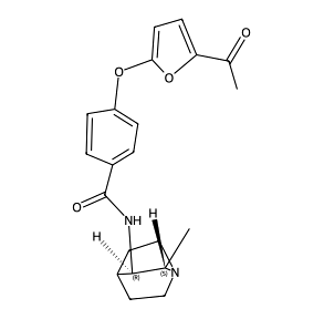 CC(=O)c1ccc(Oc2ccc(C(=O)N[C@@H]3C4CCN(CC4)[C@H]3C)cc2)o1